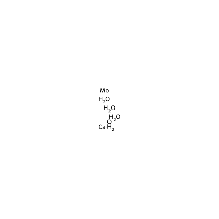 O.O.O.O.[Ca].[Mo]